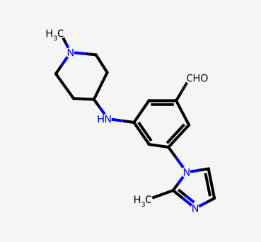 Cc1nccn1-c1cc(C=O)cc(NC2CCN(C)CC2)c1